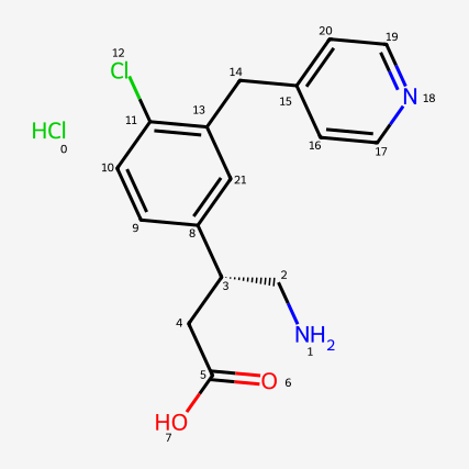 Cl.NC[C@H](CC(=O)O)c1ccc(Cl)c(Cc2ccncc2)c1